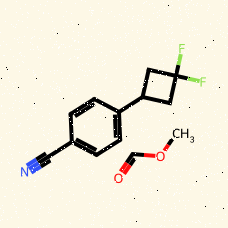 COC=O.N#Cc1ccc(C2CC(F)(F)C2)cc1